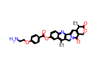 CCc1c2c(nc3ccc(OC(=O)c4ccc(OCCN)cc4)cc13)-c1cc3c(c(=O)n1C2)COC(=O)C3CC